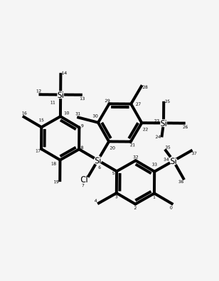 Cc1cc(C)c([Si](Cl)(c2cc([Si](C)(C)C)c(C)cc2C)c2cc([Si](C)(C)C)c(C)cc2C)cc1[Si](C)(C)C